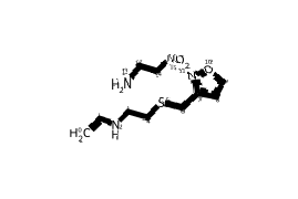 C=CNCCSCc1ccon1.NCC[N+](=O)[O-]